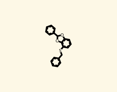 c1ccc(CSc2cccc3c2O[C](c2ccccc2)O3)cc1